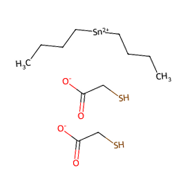 CCC[CH2][Sn+2][CH2]CCC.O=C([O-])CS.O=C([O-])CS